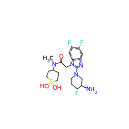 CN(C(=O)Cn1c(N2CC[C@@H](F)[C@H](N)C2)nc2cc(F)c(F)cc21)C1CCS(O)(O)CC1